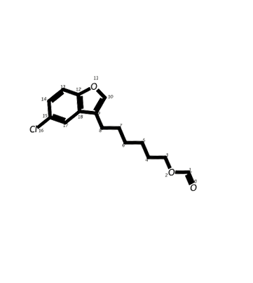 O=[C]OCCCCCCc1coc2ccc(Cl)cc12